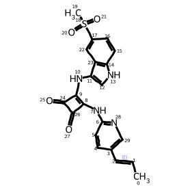 C/C=C/c1ccc(Nc2c(Nc3c[nH]c4ccc(S(C)(=O)=O)cc34)c(=O)c2=O)nc1